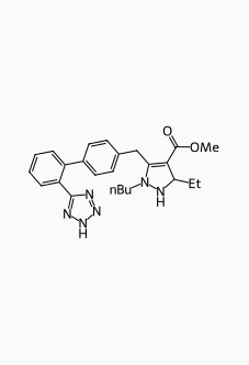 CCCCN1NC(CC)C(C(=O)OC)=C1Cc1ccc(-c2ccccc2-c2nn[nH]n2)cc1